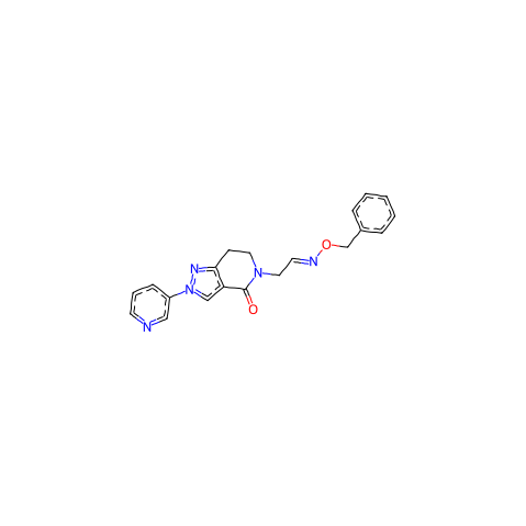 O=C1c2cn(-c3cccnc3)nc2CCN1CC=NOCc1ccccc1